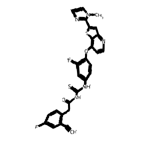 C#Cc1cc(F)ccc1CC(=O)NC(=S)Nc1ccc(Oc2ccnc3cc(-c4nccn4C)sc23)c(F)c1